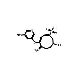 C=C1CCC(O)C/C(S(=O)(=O)C(F)(F)F)=C\C=C/1Oc1cncc(C#N)c1